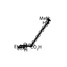 CCN(CC)c1ccc2cc(C(=O)NCCCCC(NC(=O)CCOCCOCCOCCOCCOCCOCCOCCOCCNSc3nc(NC)sc3C)C(=O)O)c(=O)oc2c1